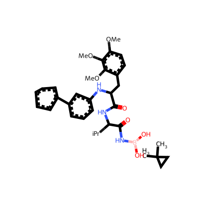 CC1(C)CC1.COc1ccc(CC(Nc2cccc(-c3ccccc3)c2)C(=O)NC(C(=O)NB(O)O)C(C)C)c(OC)c1OC